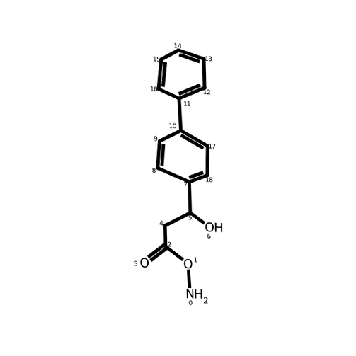 NOC(=O)CC(O)c1ccc(-c2ccccc2)cc1